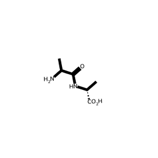 CC(N)C(=O)N[C@H](C)C(=O)O